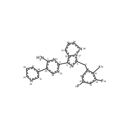 Nc1nc(-c2nc(Cc3cc(F)cc(F)c3F)n3ncccc23)ncc1-c1cccnc1